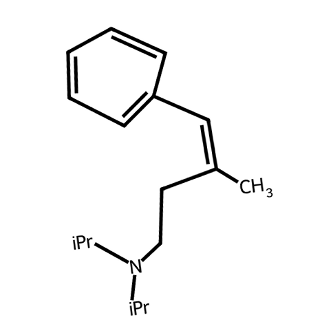 CC(=Cc1ccccc1)CCN(C(C)C)C(C)C